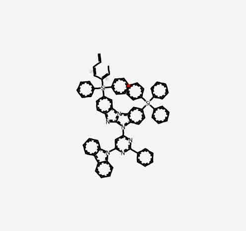 C=C/C=C\C(=C/C)[Si](c1ccccc1)(c1ccccc1)c1ccc2nc3n(-c4cc(-n5c6ccccc6c6ccccc65)nc(-c5ccccc5)n4)c4ccc([Si](c5ccccc5)(c5ccccc5)c5ccccc5)cc4n3c2c1